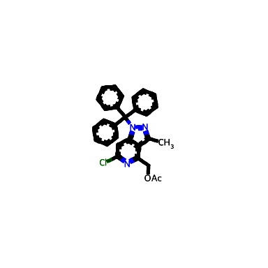 CC(=O)OCc1nc(Cl)cc2c1c(C)nn2C(c1ccccc1)(c1ccccc1)c1ccccc1